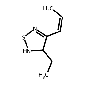 C/C=C\C1=NSNC1CC